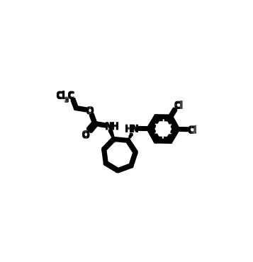 O=C(N[C@@H]1CCCCC[C@H]1Nc1ccc(Cl)c(Cl)c1)OCC(Cl)(Cl)Cl